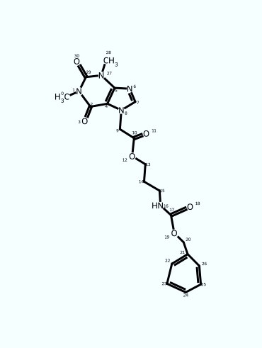 Cn1c(=O)c2c(ncn2CC(=O)OCCCNC(=O)OCc2ccccc2)n(C)c1=O